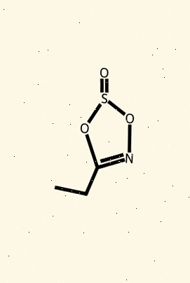 CCC1=NOS(=O)O1